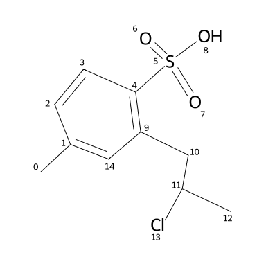 Cc1ccc(S(=O)(=O)O)c(CC(C)Cl)c1